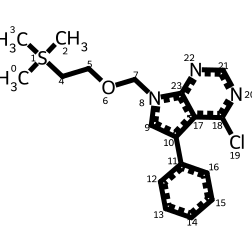 CS(C)(C)CCOCn1cc(-c2ccccc2)c2c(Cl)ncnc21